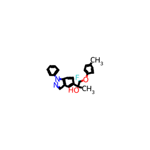 Cc1ccc(OC(F)C(C)(O)c2ccc3c(cnn3-c3ccccc3)c2)cc1